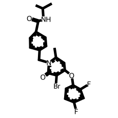 Cc1cc(Oc2ccc(F)cc2F)c(Br)c(=O)n1Cc1ccc(C(=O)NC(C)C)cc1